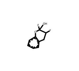 OC1(F)Oc2ccccc2CC1F